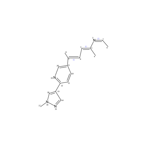 C\C=N/C(C)=C/C=C(\C)c1ccc(-c2cnn(C)c2)nc1